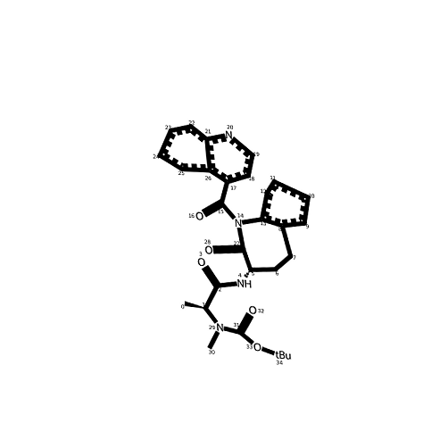 C[C@@H](C(=O)N[C@H]1CCc2ccccc2N(C(=O)c2ccnc3ccccc23)C1=O)N(C)C(=O)OC(C)(C)C